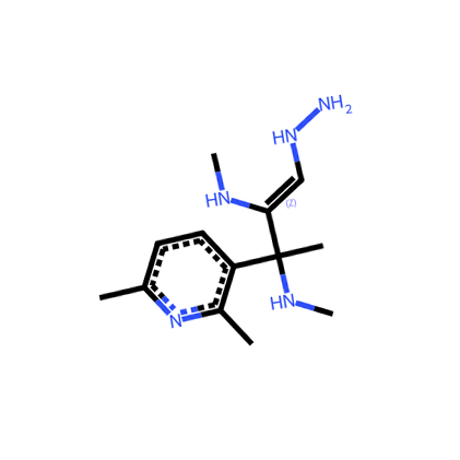 CN/C(=C\NN)C(C)(NC)c1ccc(C)nc1C